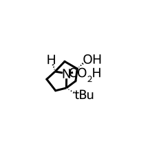 CC(C)(C)[C@@]12CC[C@@H](C[C@H](O)C1)N2C(=O)O